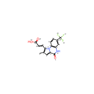 Cc1cc2c(=O)[nH]c3cc(C(F)(F)F)ccc3n2c1C=CC(=O)O